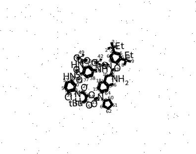 CCC(C)(C)c1cc(C(C)(C)CC)c2oc(C(N)Cc3ccc(N(C(=O)OC(C(=O)Nc4cc(NS(=O)(=O)c5ccc(NS(C)(=O)=O)cc5NS(C)(=O)=O)ccc4Cl)C(=O)C(C)(C)C)C4CCCC4)cc3C)nc2c1